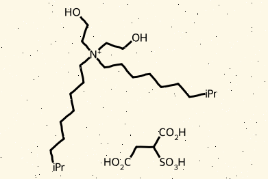 CC(C)CCCCCCC[N+](CCO)(CCO)CCCCCCCC(C)C.O=C(O)CC(C(=O)O)S(=O)(=O)O